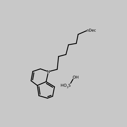 CCCCCCCCCCCCCCCCN1CC=Cc2ccccc21.O=S(=O)(O)O